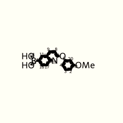 COc1cccc(Oc2ccc3cc(B(O)O)ccc3n2)c1